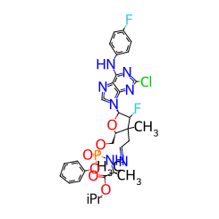 CN=CCC1(C)C(F)[C@H](n2cnc3c(Nc4ccc(F)cc4)nc(Cl)nc32)O[C@@H]1COP(=O)(N[C@@H](C)C(=O)OC(C)C)Oc1ccccc1